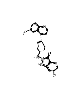 C[C@H]([C@H]1CC[C@@H](c2ccnc3ccc(F)cc32)CC1)n1[nH]c2cc(Cl)cnc2c1=O